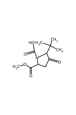 COC(=O)C1CC(=O)C(C(C)(C)C)N1C(=O)O